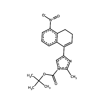 Cc1nc(C2=CCCc3c2cccc3[N+](=O)[O-])cn1C(=O)OC(C)(C)C